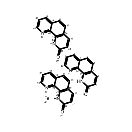 O=c1ccc2ccc3cccnc3c2[nH]1.O=c1ccc2ccc3cccnc3c2[nH]1.O=c1ccc2ccc3cccnc3c2[nH]1.[Fe]